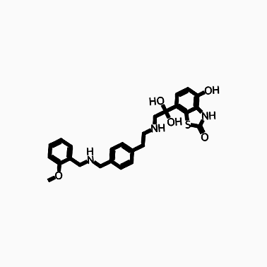 COc1ccccc1CNCc1ccc(CCNCC(O)(O)c2ccc(O)c3[nH]c(=O)sc23)cc1